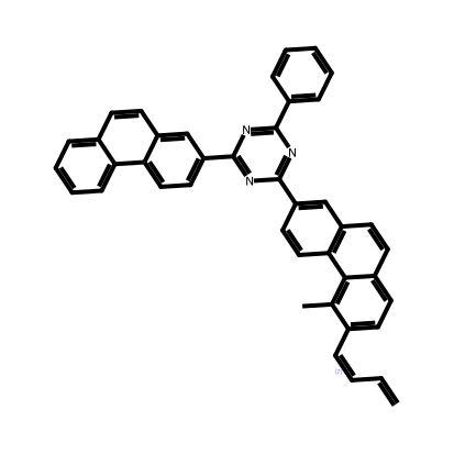 C=C/C=C\c1ccc2ccc3cc(-c4nc(-c5ccccc5)nc(-c5ccc6c(ccc7ccccc76)c5)n4)ccc3c2c1C